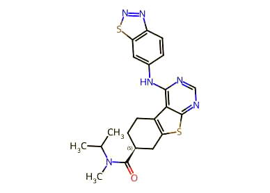 CC(C)N(C)C(=O)[C@H]1CCc2c(sc3ncnc(Nc4ccc5nnsc5c4)c23)C1